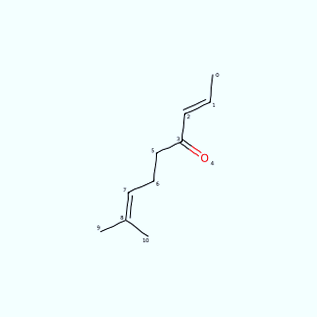 CC=CC(=O)CCC=C(C)C